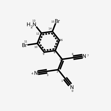 N#CC(C#N)=C(C#N)c1cc(Br)c(N)c(Br)c1